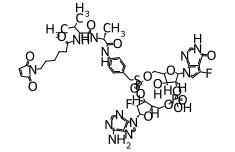 CC(C)[C@H](NC(=O)CCCCCN1C(=O)C=CC1=O)C(=O)N[C@@H](C)C(=O)Nc1ccc(CSP2(=O)OCC3O[C@@H](n4cc(F)c5c(=O)[nH]cnc54)[C@H](OP(=O)(O)OC[C@H]4O[C@@H](n5cnc6c(N)ncnc65)[C@H](F)[C@@H]4O2)[C@@H]3O)cc1